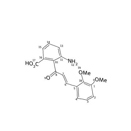 COc1cccc(C=CC(=O)c2c(N)cccc2C(=O)O)c1OC